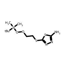 CC(C)(C)[Si](C)(C)OOCCSc1nnc(N)s1